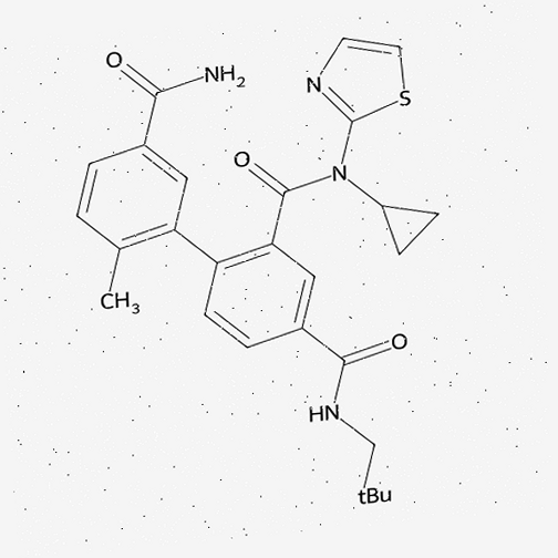 Cc1ccc(C(N)=O)cc1-c1ccc(C(=O)NCC(C)(C)C)cc1C(=O)N(c1nccs1)C1CC1